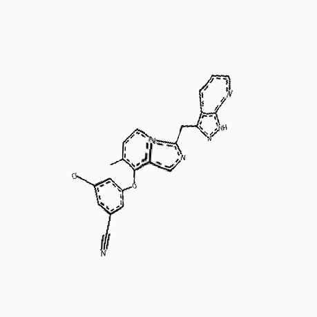 Cc1ccn2c(Cc3n[nH]c4ncccc34)ncc2c1Oc1cc(Cl)cc(C#N)c1